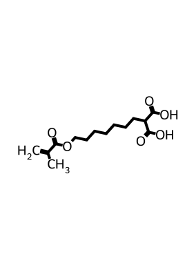 C=C(C)C(=O)OCCCCCCCC(C(=O)O)C(=O)O